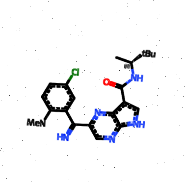 CNc1ccc(Cl)cc1C(=N)c1cnc2[nH]cc(C(=O)N[C@@H](C)C(C)(C)C)c2n1